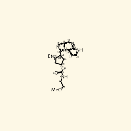 CC[C@@H]1C[C@H](OC(=O)NCCOC)C[C@@H]1c1nnc2cnc3[nH]ccc3n12